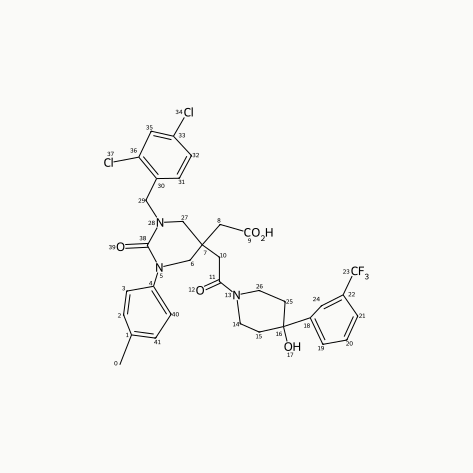 Cc1ccc(N2CC(CC(=O)O)(CC(=O)N3CCC(O)(c4cccc(C(F)(F)F)c4)CC3)CN(Cc3ccc(Cl)cc3Cl)C2=O)cc1